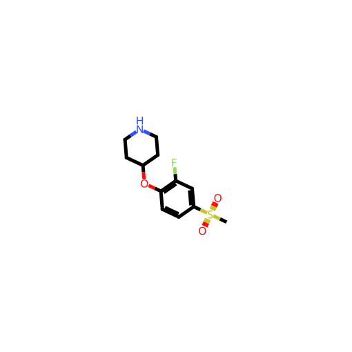 CS(=O)(=O)c1ccc(OC2CCNCC2)c(F)c1